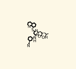 CC(C)C[C@@H](Cc1nc(Nc2cccc(C#N)c2)cc(Sc2cccc3cccnc23)n1)C(=O)O